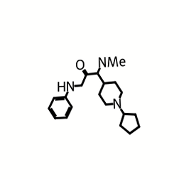 CNC(C(=O)CNc1ccccc1)C1CCN(C2CCCC2)CC1